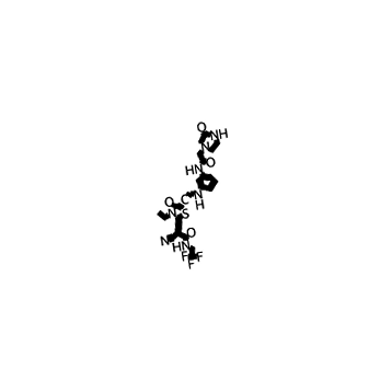 CCn1c(=C=C(C#N)C(=O)NCC(F)(F)F)sc(=C=CNc2cccc(NC(=O)CN3CCNC(=O)C3)c2)c1=O